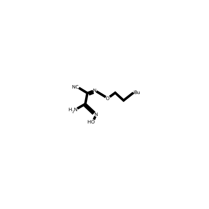 CCC(C)CCON=C(C#N)C(N)=NO